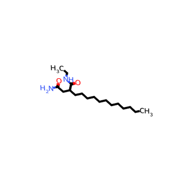 CCCCCCCCCCCCC(CC(N)=O)C(=O)NCC